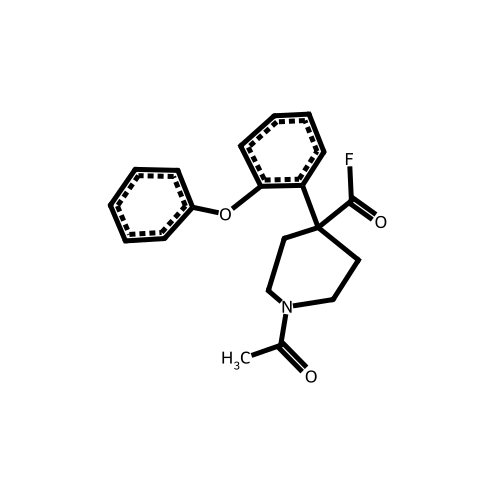 CC(=O)N1CCC(C(=O)F)(c2ccccc2Oc2ccccc2)CC1